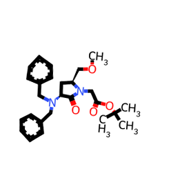 COC[C@@H]1C[C@H](N(Cc2ccccc2)Cc2ccccc2)C(=O)N1CC(=O)OC(C)(C)C